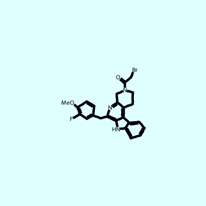 COc1ccc(Cc2nc3c(c4c2[nH]c2ccccc24)CCN(C(=O)CBr)C3)cc1F